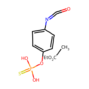 CCOC(C)=O.O=C=Nc1ccc(OP(O)(O)=S)cc1